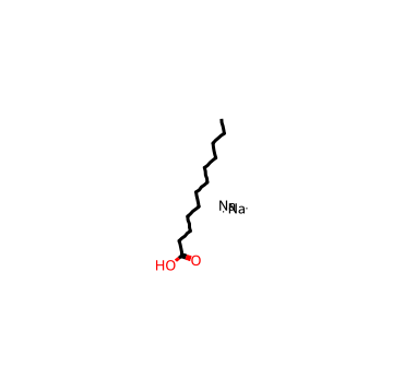 CCCCCCCCCCCC(=O)O.[Na].[Na]